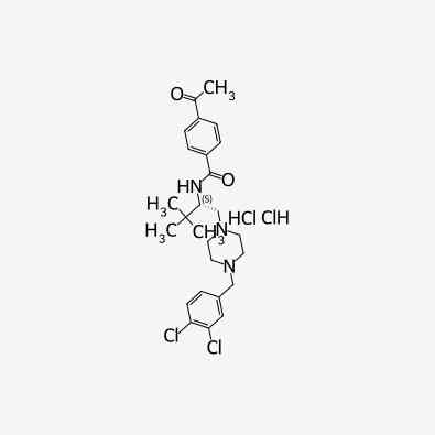 CC(=O)c1ccc(C(=O)N[C@H](CN2CCN(Cc3ccc(Cl)c(Cl)c3)CC2)C(C)(C)C)cc1.Cl.Cl